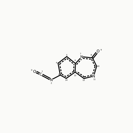 O=C=Nc1ccc2nc(=O)cncc2c1